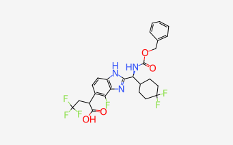 O=C(N[C@H](c1nc2c(F)c(C(CC(F)(F)F)C(=O)O)ccc2[nH]1)C1CCC(F)(F)CC1)OCc1ccccc1